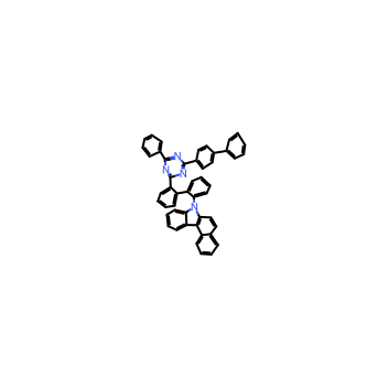 c1ccc(-c2ccc(-c3nc(-c4ccccc4)nc(-c4ccccc4-c4ccccc4-n4c5ccccc5c5c6ccccc6ccc54)n3)cc2)cc1